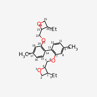 CCC1COC1COc1cc(C)ccc1-c1ccc(C)cc1OCC1OCC1CC